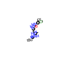 Cc1cc(Nc2cc(C(C)(C)C)n[nH]2)nc(Cc2ccc(NC(=O)Nc3ccc(Cl)c(C(F)(F)F)c3)nc2)n1